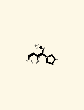 C=N/C(=C(\C=C/C)C(C)C)N1CCCC1